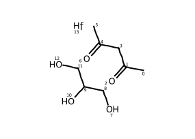 CC(=O)CC(C)=O.OCC(O)CO.[Hf]